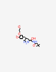 COCCCOc1cc(C[C@@H](C[C@H](N)[C@@H](O)CNC(=O)CC(C)(C)C)C(C)C)ccc1OC